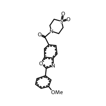 COc1cccc(-c2nc3ccc(C(=O)N4CCS(=O)(=O)CC4)cc3o2)c1